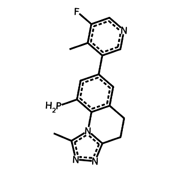 Cc1c(F)cncc1-c1cc(P)c2c(c1)CCc1nnc(C)n1-2